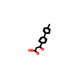 Cc1ccc(-c2ccc(C(=O)CC(=O)O)cc2)cc1